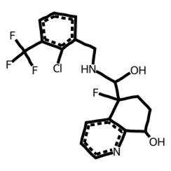 OC1CCC(F)(C(O)NCc2cccc(C(F)(F)F)c2Cl)c2cccnc21